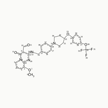 COc1cccn2c(=O)c(C=O)c(NCc3ccc(N4CCC(Oc5ccc(OC(F)(F)F)cc5)CC4)cc3)nc12